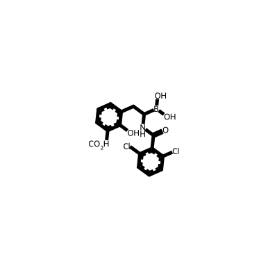 O=C(O)c1cccc(CC(NC(=O)c2c(Cl)cccc2Cl)B(O)O)c1O